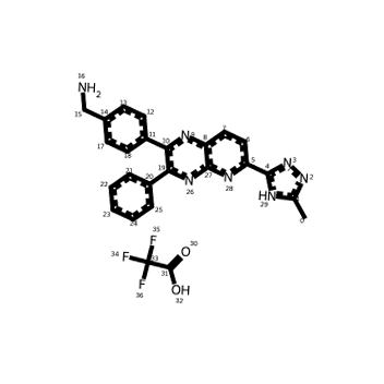 Cc1nnc(-c2ccc3nc(-c4ccc(CN)cc4)c(-c4ccccc4)nc3n2)[nH]1.O=C(O)C(F)(F)F